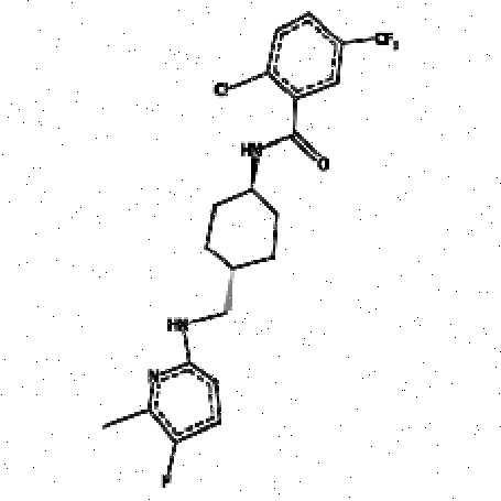 Cc1nc(NC[C@H]2CC[C@H](NC(=O)c3cc(C(F)(F)F)ccc3Cl)CC2)ccc1F